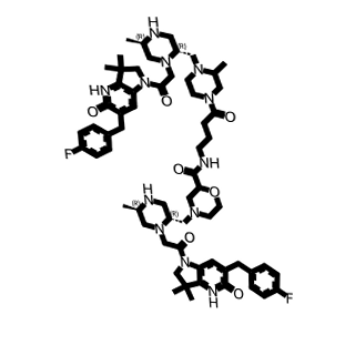 CC1CN(C(=O)CCCNC(=O)C2CN(C[C@H]3CN[C@H](C)CN3CC(=O)N3CC(C)(C)c4[nH]c(=O)c(Cc5ccc(F)cc5)cc43)CCO2)CCN1C[C@H]1CN[C@H](C)CN1CC(=O)N1CC(C)(C)c2[nH]c(=O)c(Cc3ccc(F)cc3)cc21